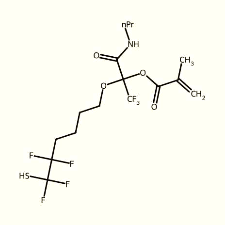 C=C(C)C(=O)OC(OCCCCC(F)(F)C(F)(F)S)(C(=O)NCCC)C(F)(F)F